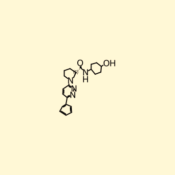 O=C(NC1CCC(O)CC1)[C@H]1CCCN(c2ccc(-c3ccccc3)nn2)C1